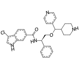 O=C(N[C@@H](COC(c1ccncc1)C1CCNCC1)c1ccccc1)c1ccc2c(Cl)c[nH]c2c1